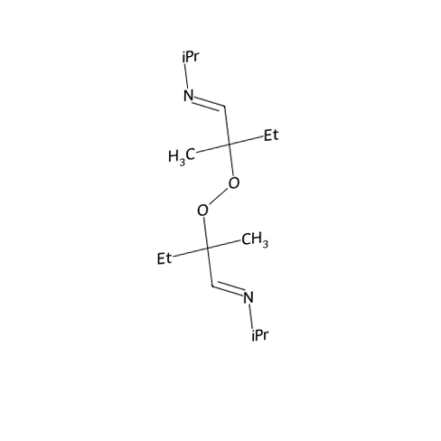 CCC(C)(C=NC(C)C)OOC(C)(C=NC(C)C)CC